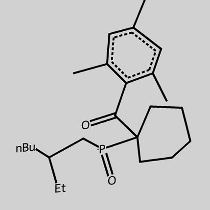 CCCCC(CC)C[P](=O)C1(C(=O)c2c(C)cc(C)cc2C)CCCCC1